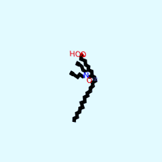 C#CCCCN(CCCC#C)C(=O)C(/C=C\CCCCCCCCCCCCCCCC)CCCCCCC(=O)O